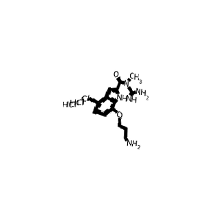 CN(C(=N)N)C(=O)c1cc2c(Cl)ccc(OCCCN)c2[nH]1.Cl.Cl